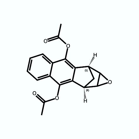 CC(=O)Oc1c2c(c(OC(C)=O)c3ccccc13)[C@@H]1C[C@H]2C2OC21